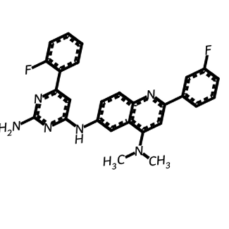 CN(C)c1cc(-c2cccc(F)c2)nc2ccc(Nc3cc(-c4ccccc4F)nc(N)n3)cc12